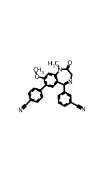 COc1cc2c(cc1-c1ccc(C#N)cc1)C(c1cccc(C#N)c1)=NCC(=O)N2C